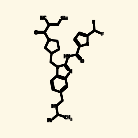 CC(C)C(C)NCc1ccc2c(c1)nc(NC(=O)c1ccc(C(F)F)s1)n2CC1CCN(C(=O)C(C#N)=CC(C)(C)C)C1